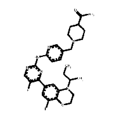 CCC(C)N1CCOc2c(F)cc(-c3nc(Nc4ccc(CN5CCC(C(N)=O)CC5)cn4)ncc3F)cc21